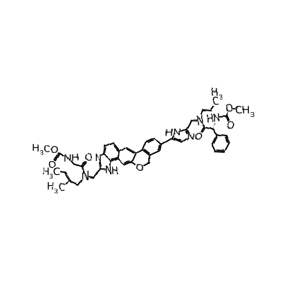 CCCN(Cc1ncc(-c2ccc3c(c2)COc2cc4c(ccc5nc(CN(C[C@@H](C)CC)C(=O)CNC(=O)OC)[nH]c54)cc2-3)[nH]1)C(=O)[C@H](NC(=O)OC)c1ccccc1